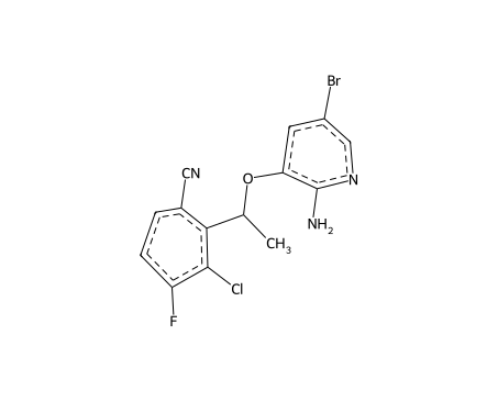 CC(Oc1cc(Br)cnc1N)c1c(C#N)ccc(F)c1Cl